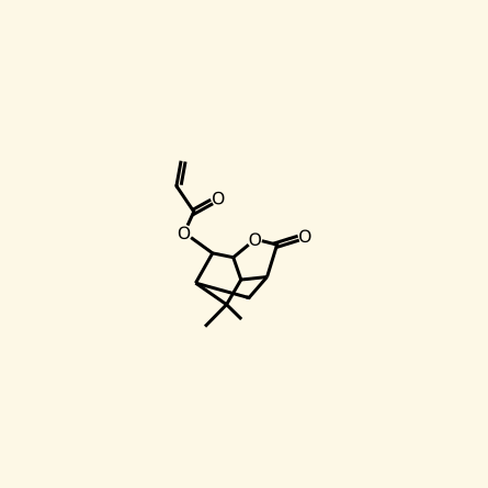 C=CC(=O)OC1C2OC(=O)C3CC1C(C)(C)C32